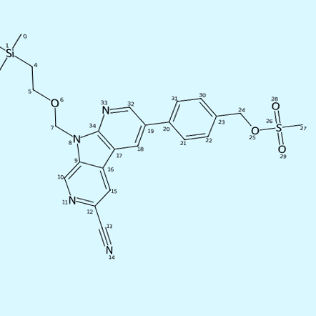 C[Si](C)(C)CCOCn1c2cnc(C#N)cc2c2cc(-c3ccc(COS(C)(=O)=O)cc3)cnc21